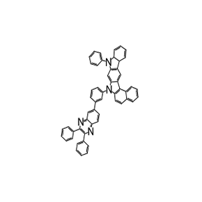 C1=CC2c3cc4c5c6ccccc6ccc5n(-c5cccc(-c6ccc7nc(-c8ccccc8)c(-c8ccccc8)nc7c6)c5)c4cc3N(c3ccccc3)C2C=C1